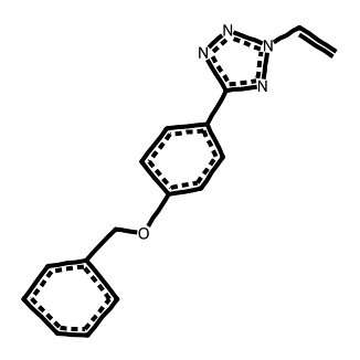 C=Cn1nnc(-c2ccc(OCc3ccccc3)cc2)n1